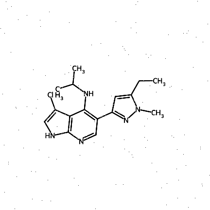 CCc1cc(-c2cnc3[nH]cc(Cl)c3c2NC(C)C)nn1C